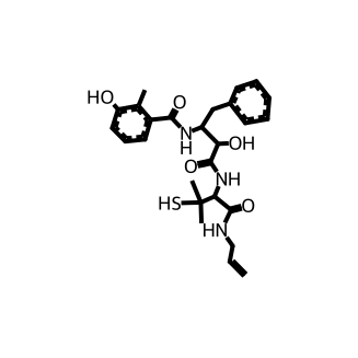 C=CCNC(=O)C(NC(=O)C(O)C(Cc1ccccc1)NC(=O)c1cccc(O)c1C)C(C)(C)S